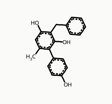 Cc1cc(O)c(Cc2ccccc2)c(O)c1-c1ccc(O)cc1